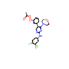 CC(=O)OOc1cccc(-c2cnc(Nc3ccc(F)c(Cl)c3)nc2N2CCOCC2)c1